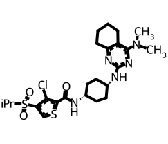 CC(C)S(=O)(=O)c1csc(C(=O)N[C@H]2CC[C@@H](Nc3nc4c(c(N(C)C)n3)CCCC4)CC2)c1Cl